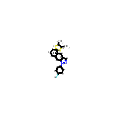 CC1SC2(CCCC3=Cc4c(cnn4-c4ccc(F)cc4)CC32C)SC1C